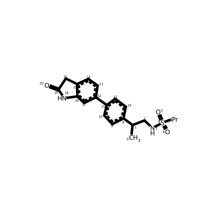 CC(CNS(=O)(=O)C(C)C)c1ccc(-c2ccc3c(c2)NC(=O)C3)cc1